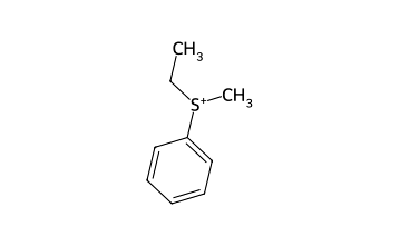 CC[S+](C)c1ccccc1